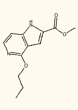 CCCOc1nccc2[nH]c(C(=O)OC)cc12